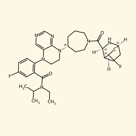 CCN(C(=O)c1cc(F)ccc1N1CCN([C@@H]2CCCN(C(=O)[C@H]3N[C@H]4CCC3[C@H](F)C4)CC2)c2ncncc21)C(C)C